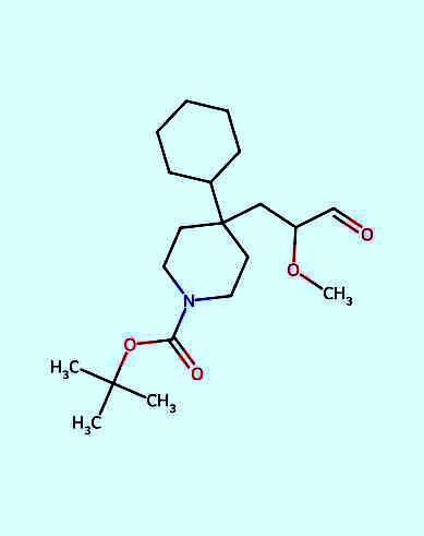 COC(C=O)CC1(C2CCCCC2)CCN(C(=O)OC(C)(C)C)CC1